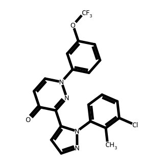 Cc1c(Cl)cccc1-n1nccc1-c1nn(-c2cccc(OC(F)(F)F)c2)ccc1=O